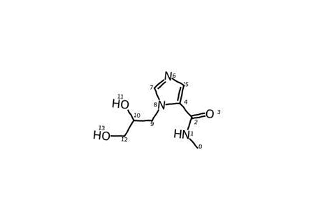 CNC(=O)c1[c]ncn1CC(O)CO